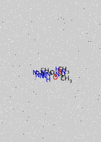 COc1nccc(C)c1CNC(=O)c1cccc(NCc2nnc(-c3ccncn3)n2C)c1